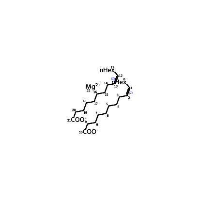 CCCCCC/C=C\CCCCCCCC(=O)[O-].CCCCCC/C=C\CCCCCCCC(=O)[O-].[Mg+2]